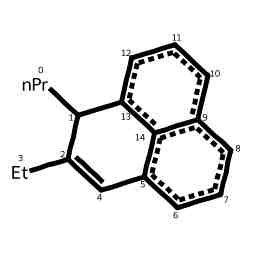 CCCC1C(CC)=Cc2cccc3cccc1c23